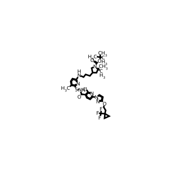 Cc1ccc(NCCCC2CN(C(=O)OC(C)(C)C)C(C)(C)C2)nc1SNC(=O)c1ccc(-n2ccc(OCCC3(C(F)(F)F)CC3)n2)nc1Cl